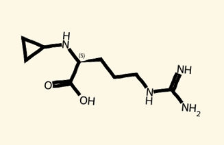 N=C(N)NCCC[C@H](NC1CC1)C(=O)O